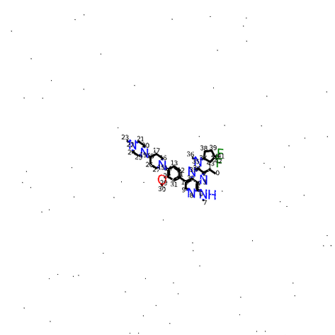 CCc1nc2c(NC)ncc(-c3ccc(N4CCC(N5CCN(C)CC5)CC4)c(OC)c3)c2nc1N(C)C1CCC(F)(F)C1